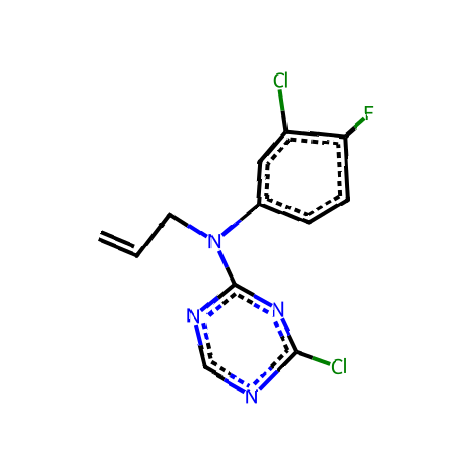 C=CCN(c1ccc(F)c(Cl)c1)c1ncnc(Cl)n1